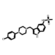 CS(=O)(=O)Nc1ccc2[nH]cc(CN3CCN(c4ccc(Cl)cc4)CC3)c2c1